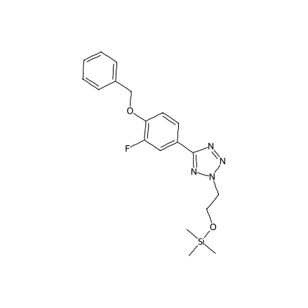 C[Si](C)(C)OCCn1nnc(-c2ccc(OCc3ccccc3)c(F)c2)n1